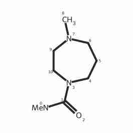 CNC(=O)N1CCCN(C)CC1